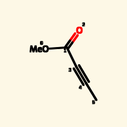 [CH2]OC(=O)C#CC